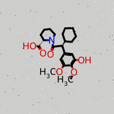 COc1cc([C@@H](C(=O)N2CCCC[C@H]2C(=O)O)C2CCCCC2)cc(O)c1OC